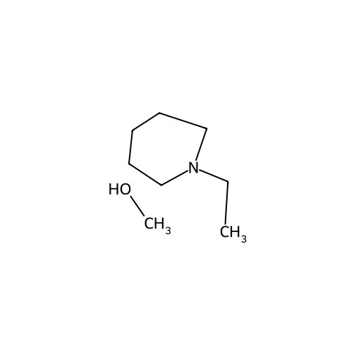 CCN1CCCCC1.CO